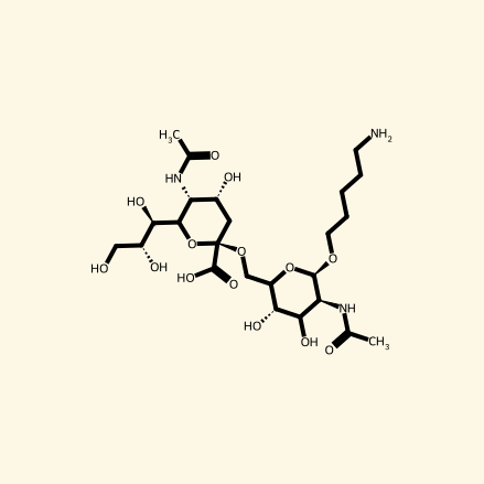 CC(=O)N[C@H]1C(O)[C@H](O)C(CO[C@]2(C(=O)O)C[C@@H](O)[C@@H](NC(C)=O)C([C@H](O)[C@H](O)CO)O2)O[C@H]1OCCCCCN